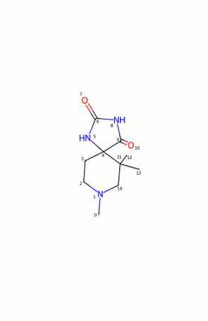 CN1CCC2(NC(=O)NC2=O)C(C)(C)C1